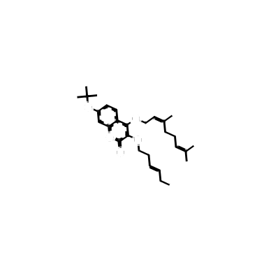 CCC=CCCOc1c(OCC=C(C)CCC=C(C)C)c2ccc(OC(C)(C)C)cc2oc1=O